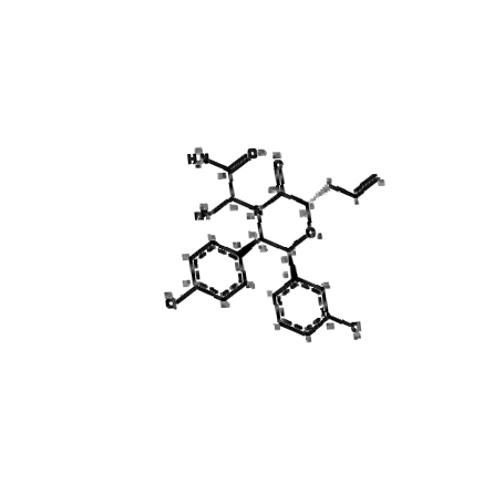 C=CC[C@@H]1O[C@@H](c2cccc(Cl)c2)[C@@H](c2ccc(Cl)cc2)N(C(CCC)C(N)=O)C1=O